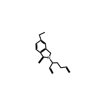 C=CCCC(C=C)N1Cc2cc(CC)ccc2C1=C